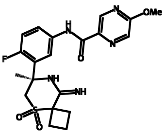 COc1cnc(C(=O)Nc2ccc(F)c([C@]3(C)CS(=O)(=O)C4(CCC4)C(=N)N3)c2)cn1